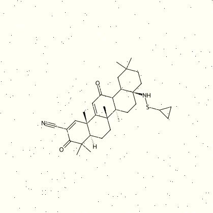 CC1(C)CC[C@]2(NSC3CC3)CC[C@]3(C)C(C(=O)C=C4[C@@]5(C)C=C(C#N)C(=O)C(C)(C)[C@@H]5CC[C@]43C)C2C1